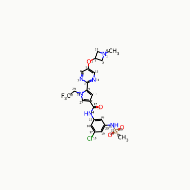 CN1CC(Oc2cnc(-c3cc(C(=O)Nc4cc(Cl)cc(NS(C)(=O)=O)c4)cn3CC(F)(F)F)nc2)C1